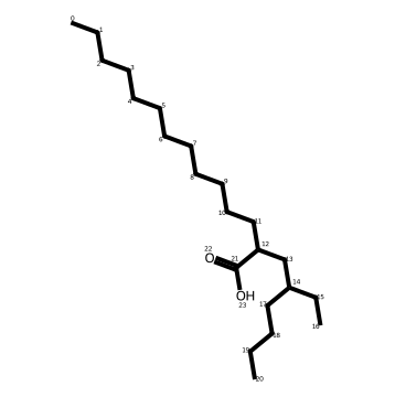 CCCCCCCCCCCCC(CC(CC)CCCC)C(=O)O